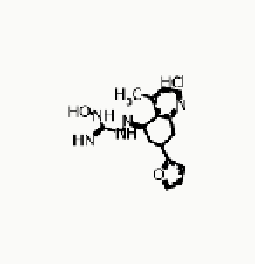 Cc1ccnc2c1C(=NNC(=N)NO)CC(c1ccco1)C2.Cl